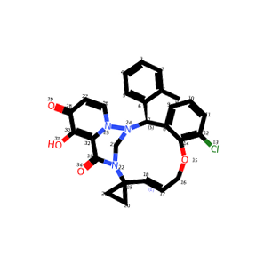 Cc1ccccc1[C@H]1c2cccc(Cl)c2OC/C=C/C2(CC2)N2CN1n1ccc(=O)c(O)c1C2=O